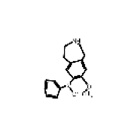 COc1cc2c(cc1[S+]([O-])c1ccccc1)CCNCC2